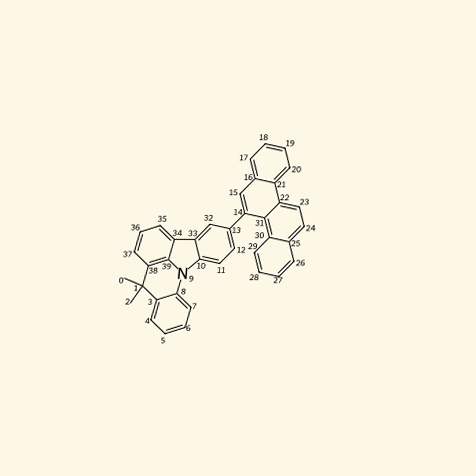 CC1(C)c2ccccc2-n2c3ccc(-c4cc5ccccc5c5ccc6ccccc6c45)cc3c3cccc1c32